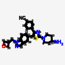 N#Cc1ccc(-c2nc(N3CCC(N)CC3)sc2-c2ccc3c(cnn3CC3COC3)c2)cc1